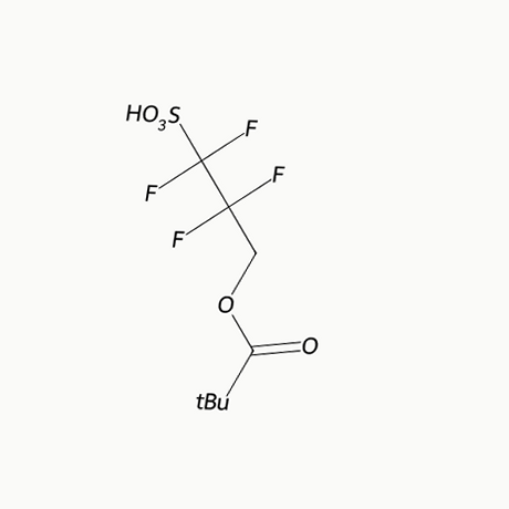 CC(C)(C)C(=O)OCC(F)(F)C(F)(F)S(=O)(=O)O